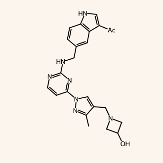 CC(=O)c1c[nH]c2ccc(CNc3nccc(-n4cc(CN5CC(O)C5)c(C)n4)n3)cc12